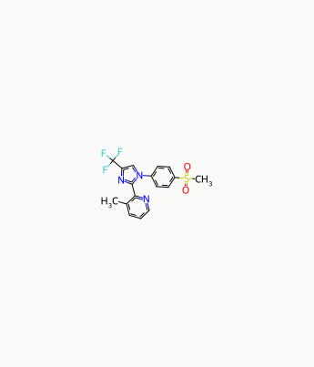 Cc1cccnc1-c1nc(C(F)(F)F)cn1-c1ccc(S(C)(=O)=O)cc1